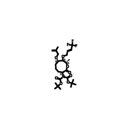 C=C(C)CO[C@H]1CCC[C@H](N(C(=O)OC(C)(C)C)C(=O)OC(C)(C)C)C(=O)O[C@@H](C)[C@@H]1OCC=CC(F)(F)F